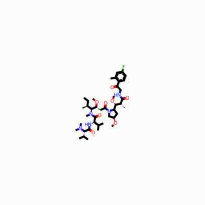 CC[C@H](C)[C@@H]([C@@H](CC(=O)N1C[C@H](OC)CC1[C@H](OC)[C@@H](C)C(=O)NCC(=O)c1ccc(F)cc1C)OC)N(C)C(=O)[C@@H](NC(=O)[C@H](C(C)C)N(C)C)C(C)C